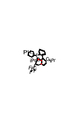 CC(C)Oc1cccc(OC(C)C)c1-c1ccccc1P(C1CCCCC1)C1CCCCC1.F[B-](F)(F)F.P